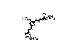 CC(=O)Nc1nc(CCc2cc(C)c(CCCNC(=O)NN)s2)cs1.Cl